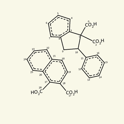 O=C(O)C1(C(=O)O)c2ccccc2CC1c1ccccc1.O=C(O)c1ccc2ccccc2c1C(=O)O